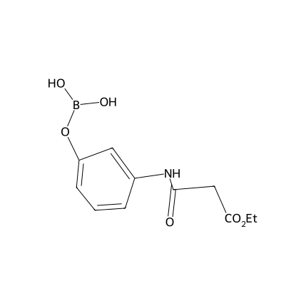 CCOC(=O)CC(=O)Nc1cccc(OB(O)O)c1